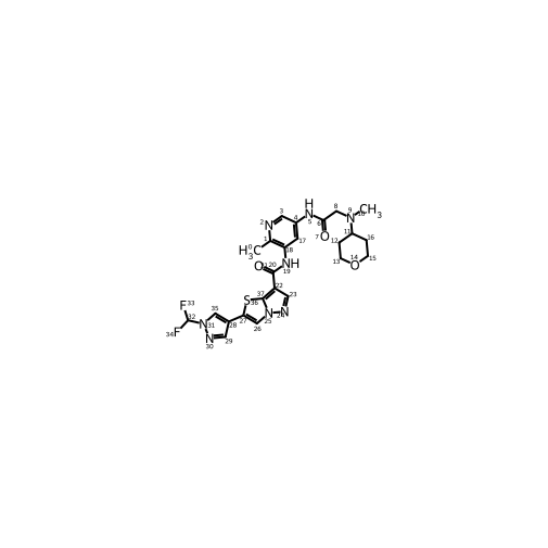 Cc1ncc(NC(=O)CN(C)C2CCOCC2)cc1NC(=O)c1cnn2cc(-c3cnn(C(F)F)c3)sc12